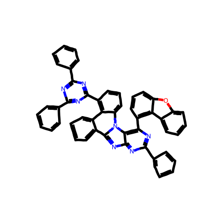 c1ccc(-c2nc(-c3ccccc3)nc(-c3cccc4c3c3ccccc3c3nc5nc(-c6ccccc6)nc(-c6cccc7oc8ccccc8c67)c5n43)n2)cc1